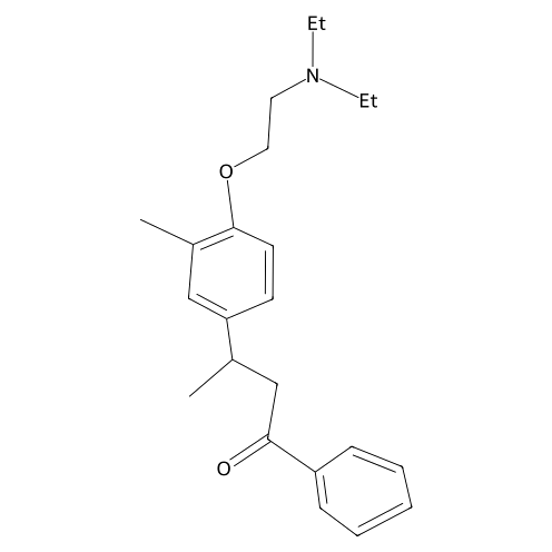 CCN(CC)CCOc1ccc(C(C)CC(=O)c2ccccc2)cc1C